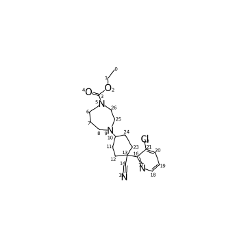 CCOC(=O)N1CCCN(C2CCC(C#N)(c3ncccc3Cl)CC2)CC1